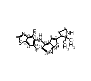 CC1(C)NCCC1c1cc2c(Nc3c(F)cc4scnc4c3F)ccnc2s1